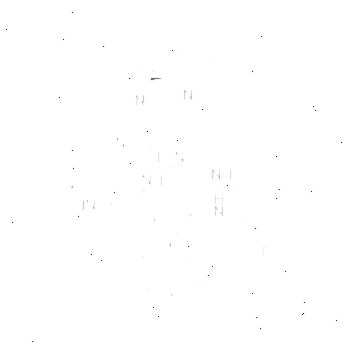 CN1CCC[C@@H]1C(=O)N1CCN(C2CCNCC2NC(=O)C(C(N)N)C2CC3(C/C=C(/F)CN2)CCCCC3)CC1